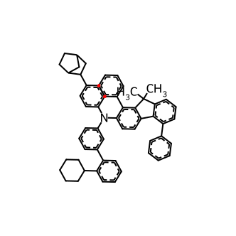 CC1(C)c2cccc(-c3ccccc3)c2-c2ccc(N(c3ccc(C4CC5CCC4C5)cc3)c3cccc(-c4ccccc4C4CCCCC4)c3)c(-c3ccccc3)c21